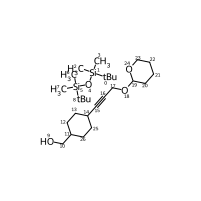 CC(C)(C)[Si](C)(C)O[Si](C)(C)C(C)(C)C.OCC1CCC(C#CCOC2CCCCO2)CC1